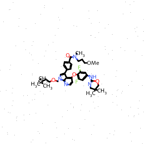 COCCCN(C)C(=O)c1ccc(-c2cn(COCC[Si](C)(C)C)c3nccc(Oc4c(F)cc(NC5=NCC(C)(C)CO5)cc4F)c23)cc1